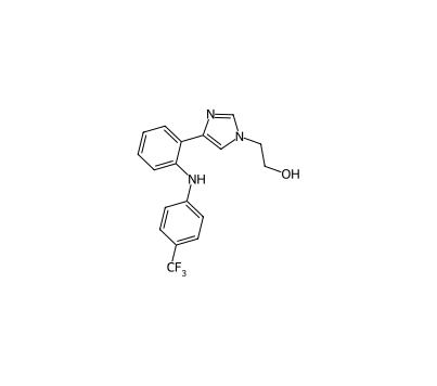 OCCn1cnc(-c2ccccc2Nc2ccc(C(F)(F)F)cc2)c1